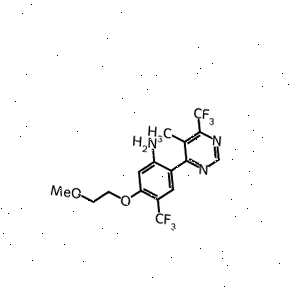 COCCOc1cc(N)c(-c2ncnc(C(F)(F)F)c2C)cc1C(F)(F)F